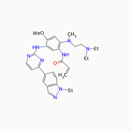 C=CC(=O)Nc1cc(Nc2nccc(-c3ccc4c(cnn4CC)c3)n2)c(OC)cc1N(C)CCN(CC)CC